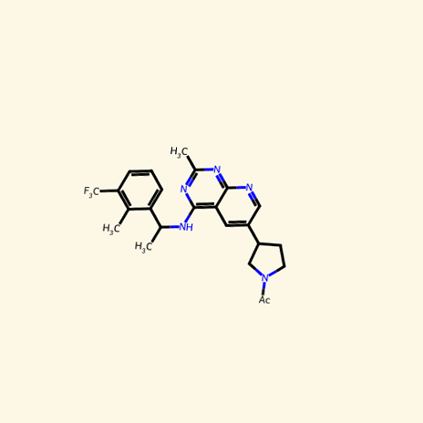 CC(=O)N1CCC(c2cnc3nc(C)nc(NC(C)c4cccc(C(F)(F)F)c4C)c3c2)C1